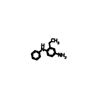 CCc1cc(N)ccc1Nc1ccccc1